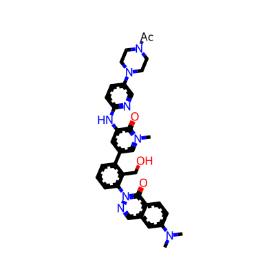 CC(=O)N1CCN(c2ccc(Nc3cc(-c4cccc(-n5ncc6cc(N(C)C)ccc6c5=O)c4CO)cn(C)c3=O)nc2)CC1